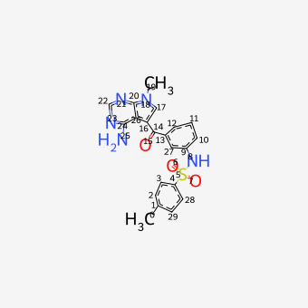 Cc1ccc(S(=O)(=O)Nc2cccc(C(=O)c3cn(C)c4ncnc(N)c34)c2)cc1